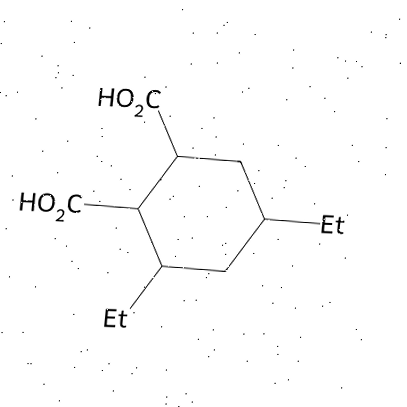 CCC1CC(CC)C(C(=O)O)C(C(=O)O)C1